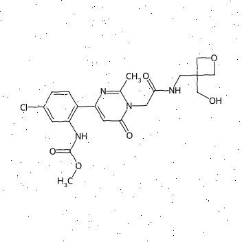 COC(=O)Nc1cc(Cl)ccc1-c1cc(=O)n(CC(=O)NCC2(CO)COC2)c(C)n1